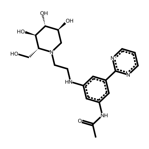 CC(=O)Nc1cc(NCCN2C[C@H](O)[C@@H](O)[C@H](O)[C@H]2CO)cc(-c2ncccn2)c1